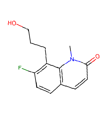 Cn1c(=O)ccc2ccc(F)c(CCCO)c21